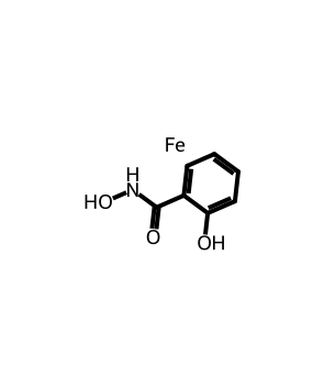 O=C(NO)c1ccccc1O.[Fe]